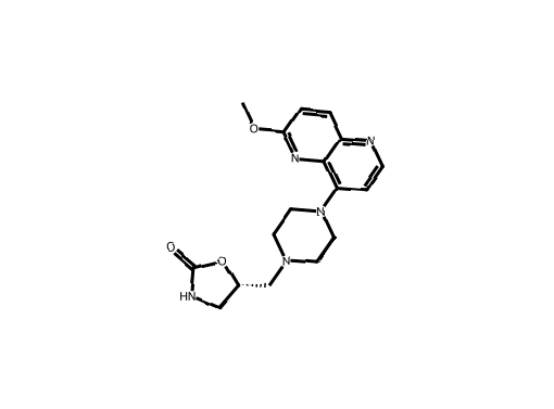 COc1ccc2nccc(N3CCN(C[C@@H]4CNC(=O)O4)CC3)c2n1